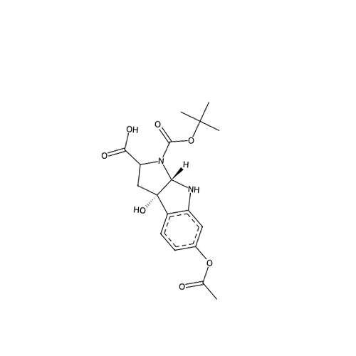 CC(=O)Oc1ccc2c(c1)N[C@H]1N(C(=O)OC(C)(C)C)C(C(=O)O)C[C@]21O